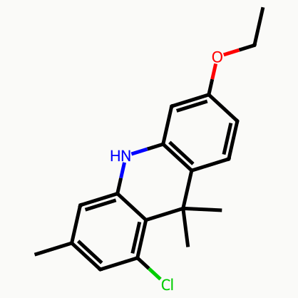 CCOc1ccc2c(c1)Nc1cc(C)cc(Cl)c1C2(C)C